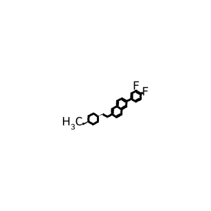 CC[C@H]1CC[C@H](CCc2ccc3cc(-c4ccc(F)c(F)c4)ccc3c2)CC1